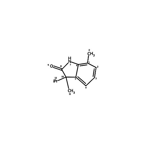 Cc1cccc2c1NC(=O)C2(C)C(C)C